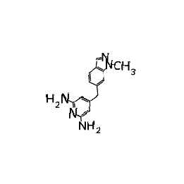 Cn1ncc2ccc(Cc3cc(N)nc(N)c3)cc21